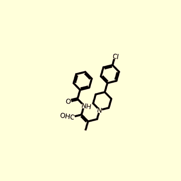 CC(CN1CCC(c2ccc(Cl)cc2)CC1)=C(C=O)NC(=O)c1ccccc1